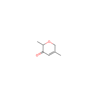 CC1=CC(=O)C(C)OC1